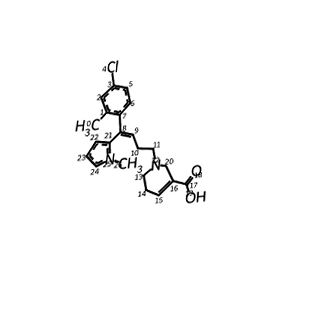 Cc1cc(Cl)ccc1C(=CCCN1CCC=C(C(=O)O)C1)c1cccn1C